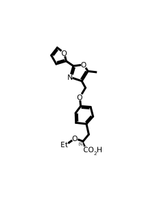 CCO[C@@H](Cc1ccc(OCc2nc(-c3ccco3)oc2C)cc1)C(=O)O